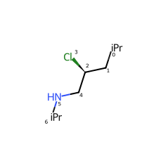 CC(C)C[C@H](Cl)CNC(C)C